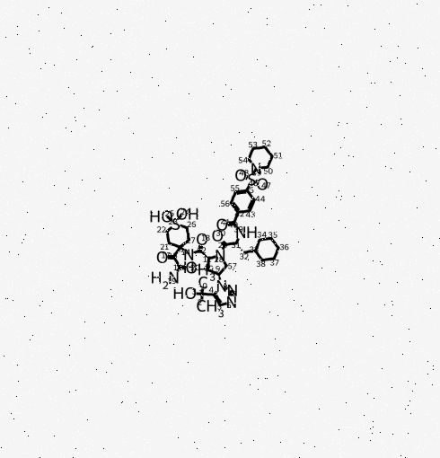 CC(C)(O)c1cnnn1[C@H]1C[C@@H](C(=O)NC2(C(=O)C(N)=O)CCS(O)(O)CC2)N(C(=O)[C@@H](CC2CCCCC2)NC(=O)c2ccc(S(=O)(=O)N3CCCCC3)cc2)C1